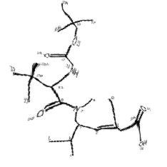 CC(=CC(C(C)C)N(C)C(=O)C(NC(=O)OC(C)(C)C)C(C)(C)C)C(=O)O